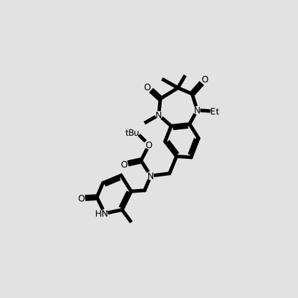 CCN1C(=O)C(C)(C)C(=O)N(C)c2cc(CN(Cc3ccc(=O)[nH]c3C)C(=O)OC(C)(C)C)ccc21